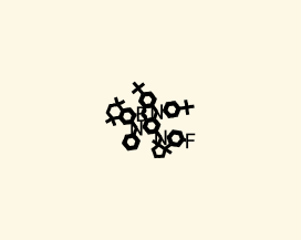 CC(C)(C)c1ccc(N2c3ccc(C(C)(C)C)cc3B3c4cc5c(cc4N(c4ccccc4)c4cc(N6c7ccc(F)cc7C7(C)CCCC67C)cc2c43)C(C)(C)CCC5(C)C)cc1